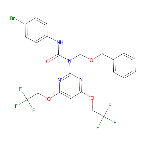 O=C(Nc1ccc(Br)cc1)N(COCc1ccccc1)c1nc(OCC(F)(F)F)cc(OCC(F)(F)F)n1